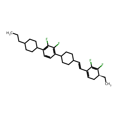 CCCC1CCC(c2ccc(C3CCC(/C=C/C4=CC[C@H](CC)C(F)=C4F)CC3)c(F)c2F)CC1